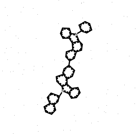 c1ccc(-n2c3ccccc3c3c4ccc(-c5ccc6c(ccc7c6c6ccccc6n7-c6ccc7ccccc7c6)c5)cc4ccc32)cc1